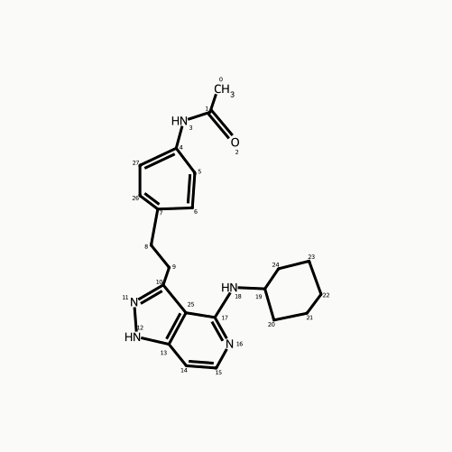 CC(=O)Nc1ccc(CCc2n[nH]c3ccnc(NC4CCCCC4)c23)cc1